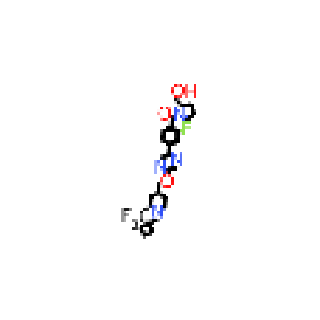 O=C(c1ccc(-c2cnc(OCC3CCN(CC4(C(F)(F)F)CCC4)CC3)cn2)cc1F)N1CCCC1CO